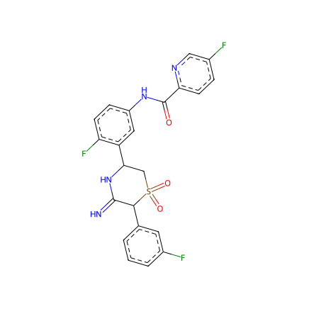 N=C1NC(c2cc(NC(=O)c3ccc(F)cn3)ccc2F)CS(=O)(=O)C1c1cccc(F)c1